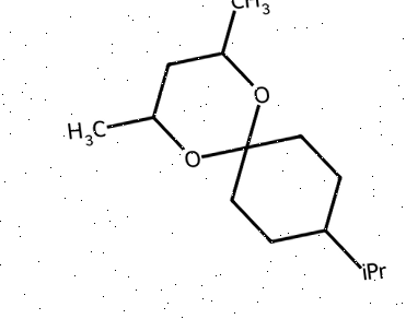 CC1CC(C)OC2(CCC(C(C)C)CC2)O1